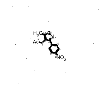 CC(=O)Cc1c(-c2ccc([N+](=O)[O-])cc2)noc1C